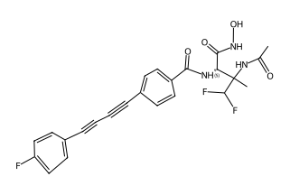 CC(=O)NC(C)(C(F)F)[C@H](NC(=O)c1ccc(C#CC#Cc2ccc(F)cc2)cc1)C(=O)NO